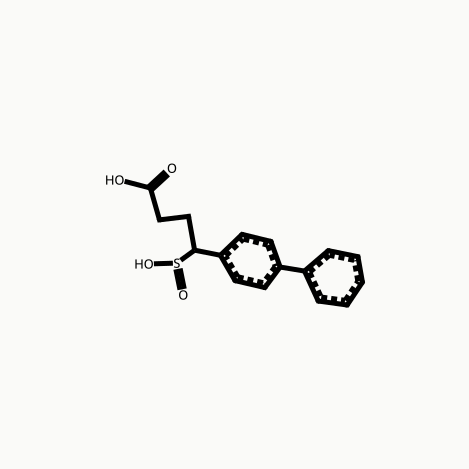 O=C(O)CCC(c1ccc(-c2ccccc2)cc1)S(=O)O